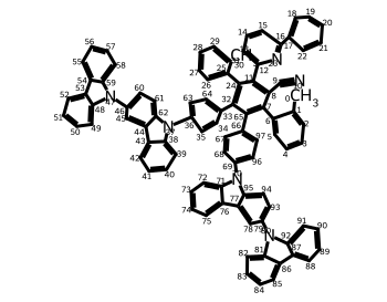 Cc1ccccc1-c1c(C#N)c(-c2cccc(-c3ccccc3)n2)c(-c2ccccc2C)c(-c2ccc(-n3c4ccccc4c4cc(-n5c6ccccc6c6ccccc65)ccc43)cc2)c1-c1ccc(-n2c3ccccc3c3cc(-n4c5ccccc5c5ccccc54)ccc32)cc1